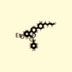 C/C=C/CCC1CCC(C2CCC(c3ccc(OCC)cc3C(=O)OCc3ccccc3)CC2)CC1